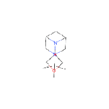 CC(C)(C)N1CC2CC(C1)N2C1COC1